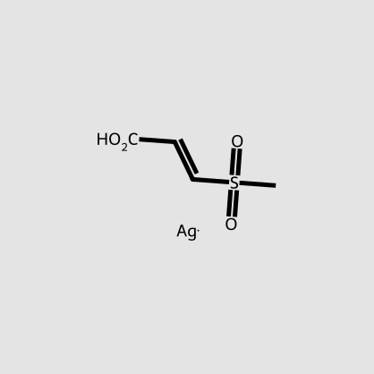 CS(=O)(=O)C=CC(=O)O.[Ag]